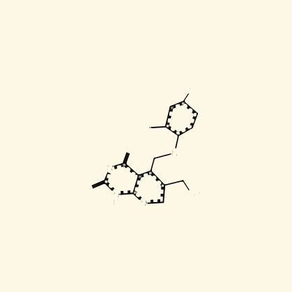 CC(=O)OCc1cnc2[nH]c(=O)[nH]c(=O)c2c1CNc1ccc(Cl)cc1Cl